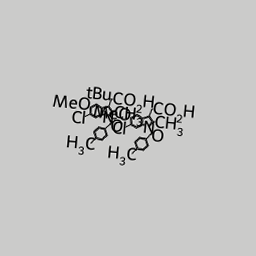 COc1cc2c(C(C(=O)O)C(C)(C)C)c(C)n(C(=O)c3ccc(C)cc3)c2cc1Cl.COc1cc2c(CC(=O)O)c(C)n(C(=O)c3ccc(C)cc3)c2cc1Cl